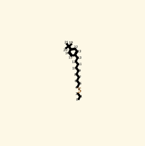 CCCSCCCCCCCCCCc1ccc(C(C)(C)C)cc1